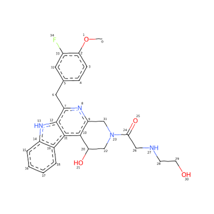 COc1ccc(Cc2nc3c(c4c2[nH]c2ccccc24)C(O)CN(C(=O)CNCCO)C3)cc1F